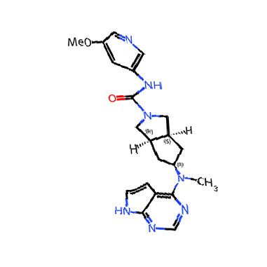 COc1cncc(NC(=O)N2C[C@H]3C[C@@H](N(C)c4ncnc5[nH]ccc45)C[C@H]3C2)c1